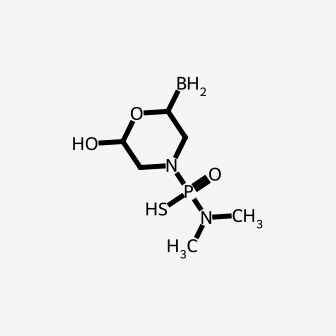 BC1CN(P(=O)(S)N(C)C)CC(O)O1